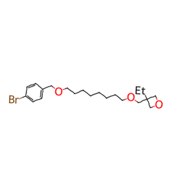 CCC1(COCCCCCCCCOCc2ccc(Br)cc2)COC1